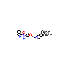 COc1cc2c(cc1OC)CN(CCCOc1ccc(NC(=O)c3nccc4ccccc34)cc1)CC2